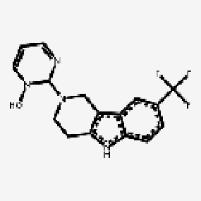 ON1C=CC=NC1N1CCc2[nH]c3ccc(C(F)(F)F)cc3c2C1